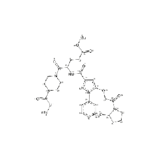 CCCCOC(=O)N1CCN(C(=O)C(CCC(=O)OC(C)(C)C)NC(=O)c2cc(OCC(=O)N3CCCC3C(=O)O)n(-c3ccccc3)n2)CC1